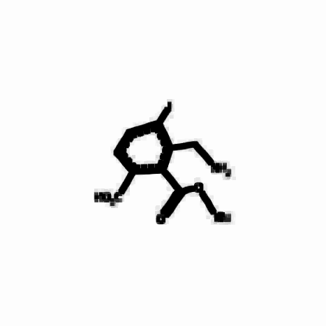 CC(C)(C)OC(=O)c1c(C(=O)O)ccc(I)c1CN